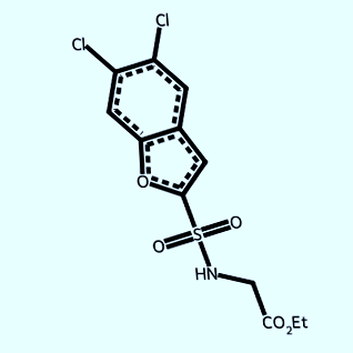 CCOC(=O)CNS(=O)(=O)c1cc2cc(Cl)c(Cl)cc2o1